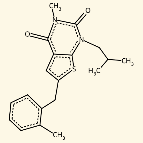 Cc1ccccc1Cc1cc2c(=O)n(C)c(=O)n(CC(C)C)c2s1